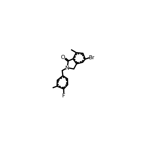 Cc1cc(CN2Cc3cc(Br)cc(C)c3C2=O)ccc1F